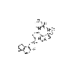 CCN1C[C@H]2COCCN2c2cnc(NCc3c(F)ccc4c3CCO4)n3cnc(c23)S1(=O)=O